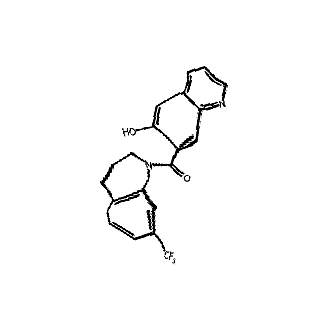 O=C(c1cc2ncccc2cc1O)N1CCCc2ccc(C(F)(F)F)cc21